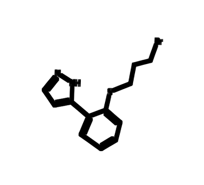 BrCCCSc1ccccc1-c1ccn[nH]1